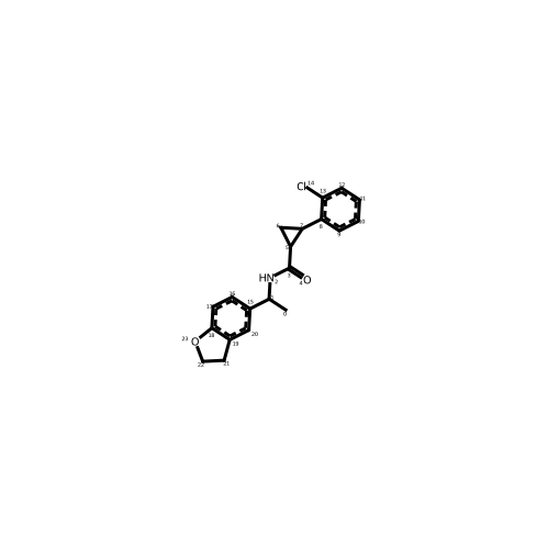 CC(NC(=O)C1CC1c1ccccc1Cl)c1ccc2c(c1)CCO2